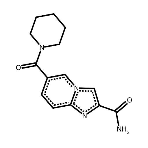 NC(=O)c1cn2cc(C(=O)N3CCCCC3)ccc2n1